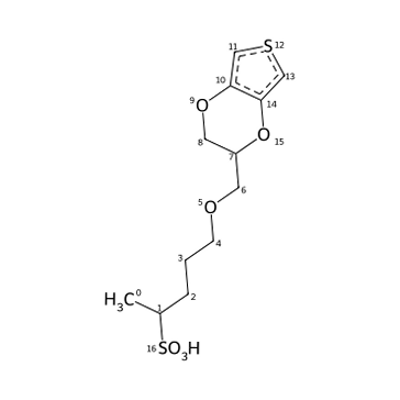 CC(CCCOCC1COc2cscc2O1)S(=O)(=O)O